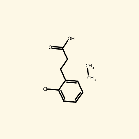 CC.O=C(O)CCc1ccccc1Cl